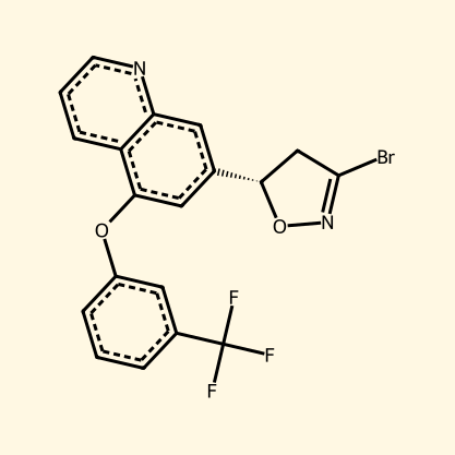 FC(F)(F)c1cccc(Oc2cc([C@@H]3CC(Br)=NO3)cc3ncccc23)c1